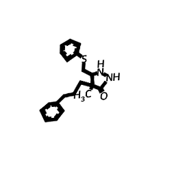 CC1(CCCc2ccccc2)C(=O)NNC1CSc1ccccc1